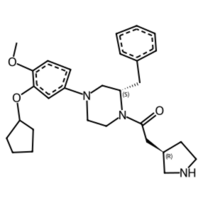 COc1ccc(N2CCN(C(=O)C[C@H]3CCNC3)[C@@H](Cc3ccccc3)C2)cc1OC1CCCC1